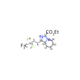 CCOC(=O)c1nc(CCC(F)(F)C(F)(F)F)c2ccccn12